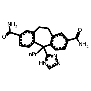 CCCC1(c2nnc[nH]2)c2ccc(C(N)=O)cc2CCc2cc(C(N)=O)ccc21